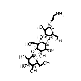 NCCO[C@H]1OC(CO)[C@H](O[C@H]2OC(CO)[C@@H](O[C@@H]3OC(CO)[C@@H](O)[C@H](O)C3O)[C@H](O)C2O)[C@H](O)C1O